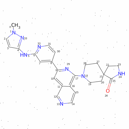 Cn1ccc(Nc2cc(-c3cc4cnccc4c(N4CCC5(CCNC5=O)CC4)n3)ccn2)n1